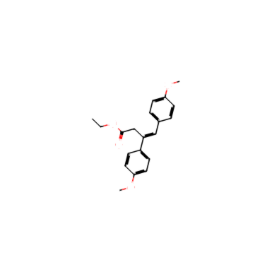 CCOC(=O)C/C(=C\c1ccc(OC)cc1)c1ccc(OC)cc1